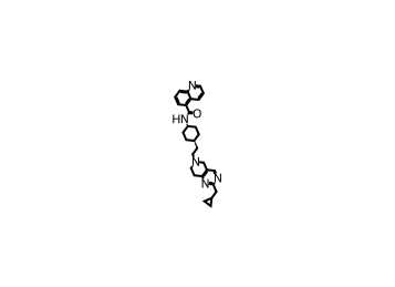 O=C(N[C@H]1CC[C@H](CCN2CCc3nc(CC4CC4)ncc3C2)CC1)c1cccc2ncccc12